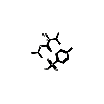 CC(C)OC(=O)[C@@H](N)C(C)C.Cc1ccc(S(=O)(=O)O)cc1